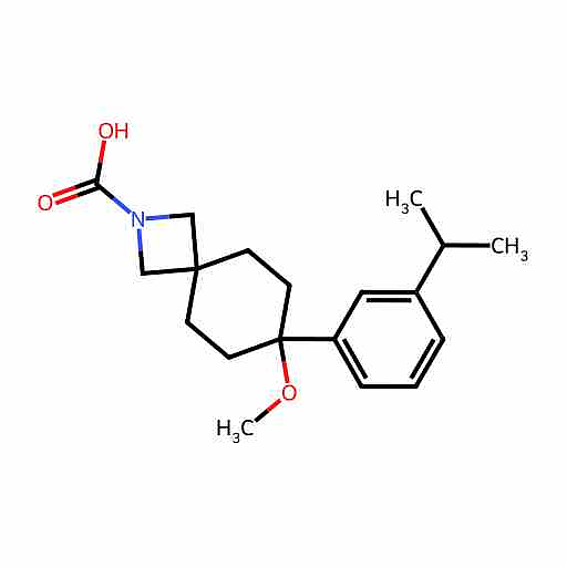 COC1(c2cccc(C(C)C)c2)CCC2(CC1)CN(C(=O)O)C2